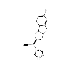 N#CC(=C1SC2CC3=CC(F)=CCC3C2S1)n1ccnc1